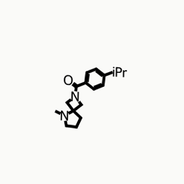 CC(C)c1ccc(C(=O)N2CC3(CCCN3C)C2)cc1